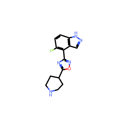 Fc1ccc2[nH]ncc2c1-c1noc(C2CCNCC2)n1